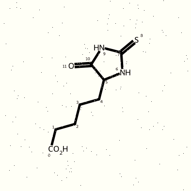 O=C(O)CCCCC1NC(=S)NC1=O